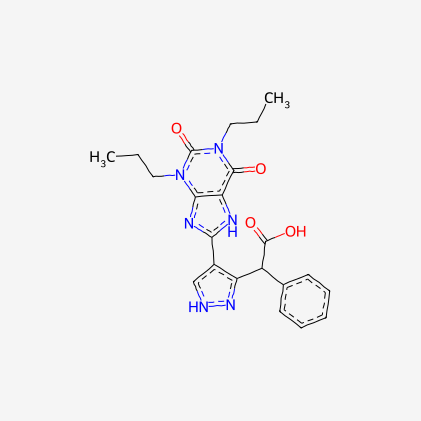 CCCn1c(=O)c2[nH]c(-c3c[nH]nc3C(C(=O)O)c3ccccc3)nc2n(CCC)c1=O